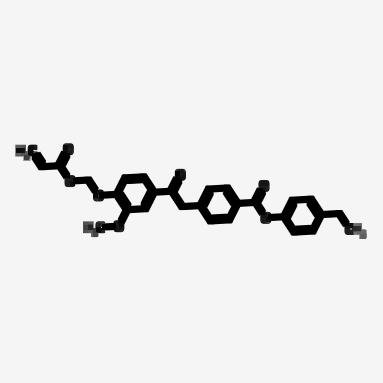 C=CC(=O)OCOc1ccc(C(=O)Cc2ccc(C(=O)Oc3ccc(CC)cc3)cc2)cc1OC